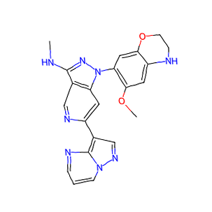 CNc1nn(-c2cc3c(cc2OC)NCCO3)c2cc(-c3cnn4cccnc34)ncc12